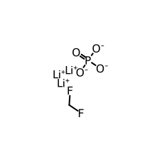 FCF.O=P([O-])([O-])[O-].[Li+].[Li+].[Li+]